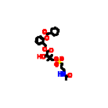 CC(=O)NCCCS(=O)(=O)OCC(C)(C)[C@@H](O)C(=O)OCc1ccccc1OC(=O)C1CCCCC1